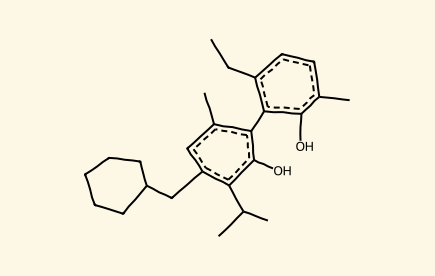 CCc1ccc(C)c(O)c1-c1c(C)cc(CC2CCCCC2)c(C(C)C)c1O